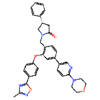 Cc1noc(-c2ccc(Oc3cc(-c4ccc(N5CCOCC5)nc4)ccc3CN3C[C@H](c4ccccc4)CC3=O)cc2)n1